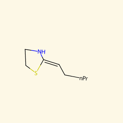 [CH2]CCCC=C1NCCS1